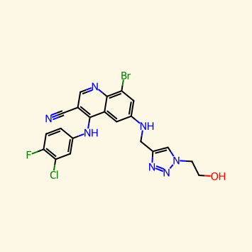 N#Cc1cnc2c(Br)cc(NCc3cn(CCO)nn3)cc2c1Nc1ccc(F)c(Cl)c1